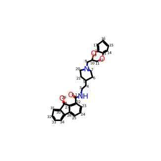 O=C(NCCC1CCN(CC2COc3ccccc3O2)CC1)c1cccc2c1C(=O)c1ccccc1-2